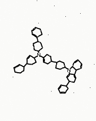 C1=CCCC(C2CCC(N(C3=CCC(C4CCC(N5C6=CC(C7C=CC=CC7)CC=C6C6C=CC=CC65)CC4)CC3)C3C=CC(C4C=CCCC4)CC3)CC2)=C1